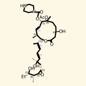 CC[C@H](O)[C@@H](C)[C@@H]1O[C@H]1C[C@@](C)(O)/C=C/C=C(\C)[C@H]1OC(=O)C[C@H](O)CC[C@@](C)(OC(C)=O)[C@@H](OC(=O)N2CCNCC2)/C=C/[C@@H]1C